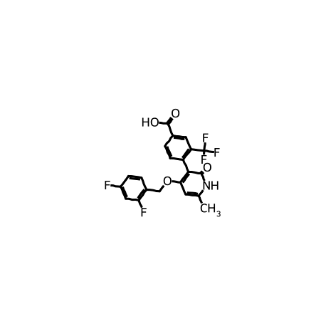 Cc1cc(OCc2ccc(F)cc2F)c(-c2ccc(C(=O)O)cc2C(F)(F)F)c(=O)[nH]1